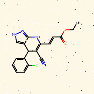 CCOC(=O)/C=C/C1=C(C#N)C(c2ccccc2Cl)c2c[nH]nc2N1